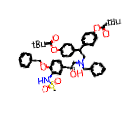 CC(C)(C)C(=O)Oc1ccc(C(CN(Cc2ccccc2)C[C@H](O)c2ccc(OCc3ccccc3)c(NS(C)(=O)=O)c2)c2ccc(OC(=O)C(C)(C)C)cc2)cc1